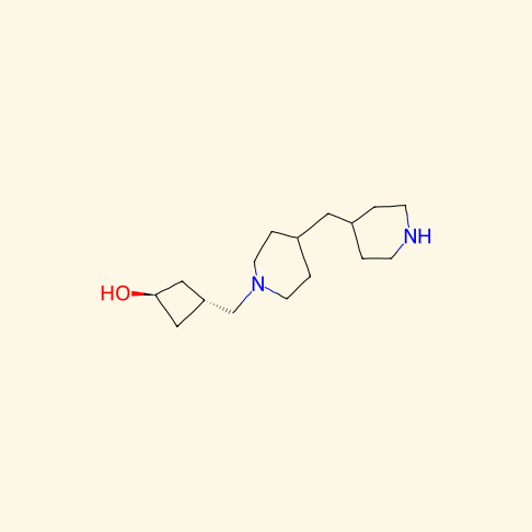 O[C@H]1C[C@H](CN2CCC(CC3CCNCC3)CC2)C1